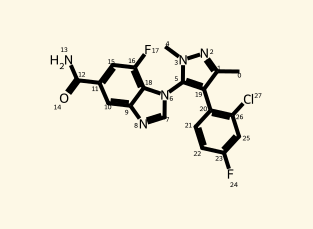 Cc1nn(C)c(-n2cnc3cc(C(N)=O)cc(F)c32)c1-c1ccc(F)cc1Cl